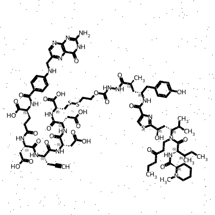 C#CC[C@H](NC(=O)[C@H](CC(=O)O)NC(=O)CC[C@H](NC(=O)c1ccc(NCc2cnc3nc(N)[nH]c(=O)c3n2)cc1)C(=O)O)C(=O)N[C@@H](CC(=O)O)C(=O)N[C@@H](CC(=O)O)C(=O)N[C@@H](CSSCCOC(=O)NNC(=O)[C@@H](C)C[C@H](Cc1ccc(O)cc1)NC(=O)c1csc([C@H](O)C[C@H](C(C)C)N(CCC(=O)CCC)C(=O)[C@@H](NC(=O)[C@H]2CCCCN2C)[C@H](C)CC)n1)C(=O)O